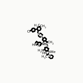 C=C(NSc1cc(N)c(N[C@@H](C)CN2CCCCC2)c(NC)c1)c1ccc(N2CCN(CC3=C(c4ccc(Cl)cc4)CC(C)(C)CC3)CC2)cc1Oc1cnc2[nH]ccc2c1